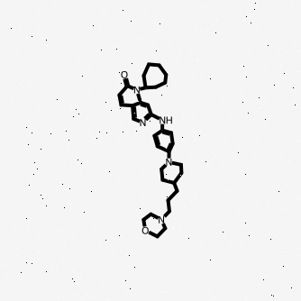 O=c1ccc2cnc(Nc3ccc(N4CCC(CCCN5CCOCC5)CC4)cc3)cc2n1C1CCCCCC1